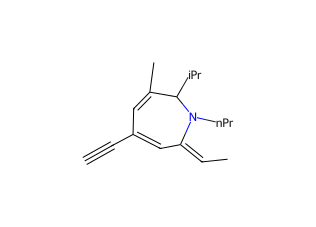 C#CC1=C/C(=C/C)N(CCC)C(C(C)C)C(C)=C1